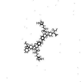 CCC(=O)N(C1CC1)C1CCN(C(=O)C(Cc2ccc(OC)cc2)NC(=O)NCCc2c[nH]cn2)CC1.CCOC(=O)C1(C2CCCCC2)CCN(C(=O)C(Cc2ccccc2)NC(=O)NCCc2c[nH]cn2)CC1